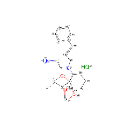 CCCC1(OC)C(N(CC=Cc2ccccc2)CCN)CCC[Si]1(OC)OC.Cl